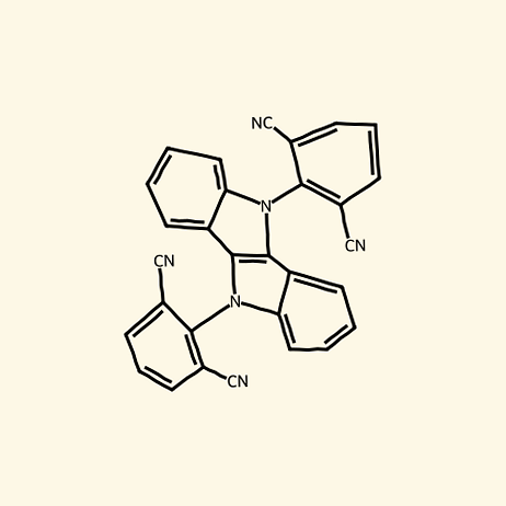 N#Cc1cccc(C#N)c1-n1c2ccccc2c2c1c1ccccc1n2-c1c(C#N)cccc1C#N